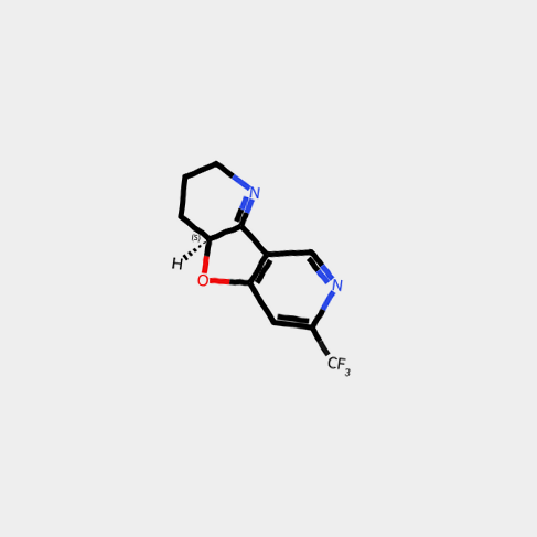 FC(F)(F)c1cc2c(cn1)C1=NCCC[C@@H]1O2